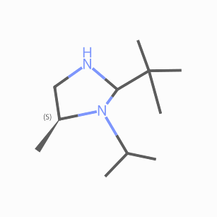 CC(C)N1C(C(C)(C)C)NC[C@@H]1C